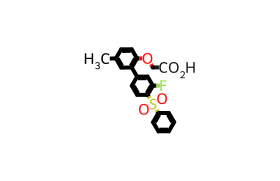 Cc1ccc(OCC(=O)O)c(-c2ccc(S(=O)(=O)c3ccccc3)c(F)c2)c1